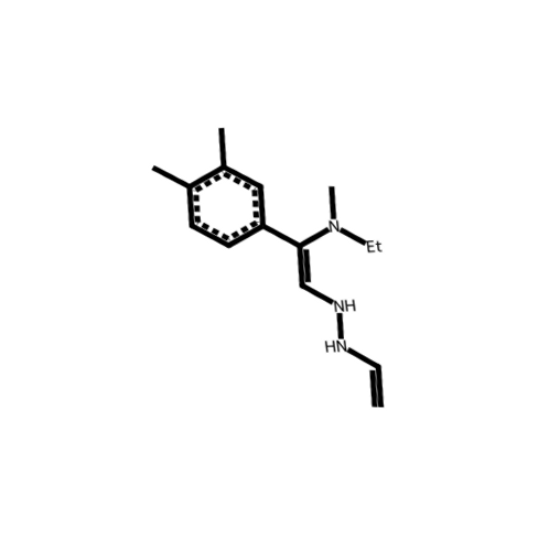 C=CNN/C=C(/c1ccc(C)c(C)c1)N(C)CC